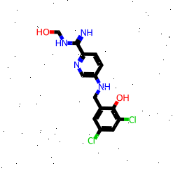 N=C(NCO)c1ccc(NCc2cc(Cl)cc(Cl)c2O)cn1